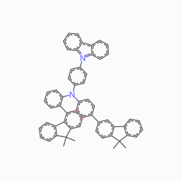 CC1(C)c2ccccc2-c2cc(-c3ccc(N(c4ccc(-n5c6ccccc6c6ccccc65)cc4)c4ccccc4-c4cccc5c4-c4ccccc4C5(C)C)cc3)ccc21